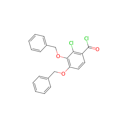 O=C(Cl)c1ccc(OCc2ccccc2)c(OCc2ccccc2)c1Cl